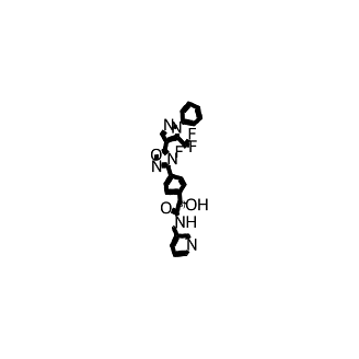 O=C(NCc1cccnc1)[C@@H](O)c1ccc(-c2noc(-c3cnn(-c4ccccc4)c3C(F)(F)F)n2)cc1